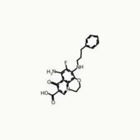 Nc1c(F)c(NCCCc2ccccc2)c2c3c1c(=O)c(C(=O)O)cn3CCO2